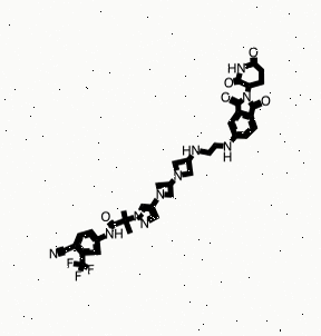 CC(C)(C(=O)Nc1ccc(C#N)c(C(F)(F)F)c1)n1cc(N2CC(N3CC(NCCNc4ccc5c(c4)C(=O)N(C4CCC(=O)NC4=O)C5=O)C3)C2)cn1